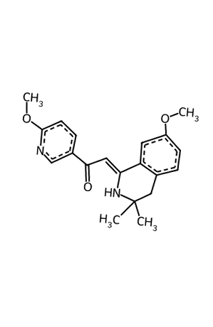 COc1ccc2c(c1)C(=CC(=O)c1ccc(OC)nc1)NC(C)(C)C2